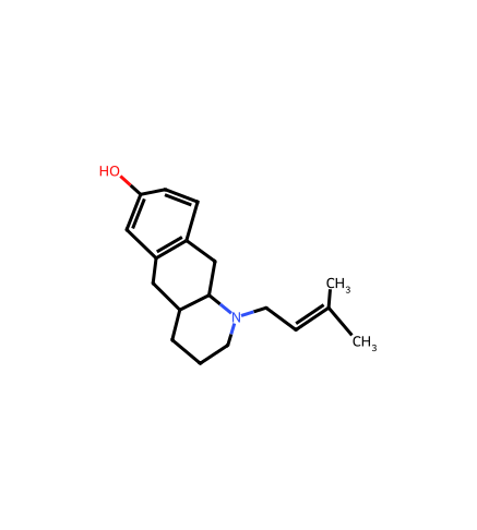 CC(C)=CCN1CCCC2Cc3cc(O)ccc3CC21